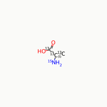 [13CH3][13C@H]([15NH2])[13C](=O)O